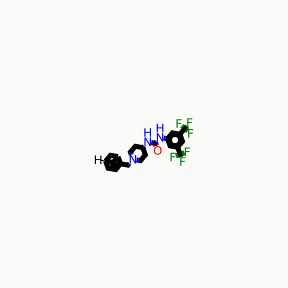 CC1(C)C2C[C@@H]1CC=C2CN1CCC(NC(=O)Nc2cc(C(F)(F)F)cc(C(F)(F)F)c2)CC1